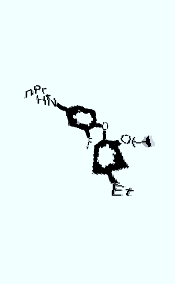 CCCNc1ccc(Oc2ccc(CC)cc2O)c(F)c1